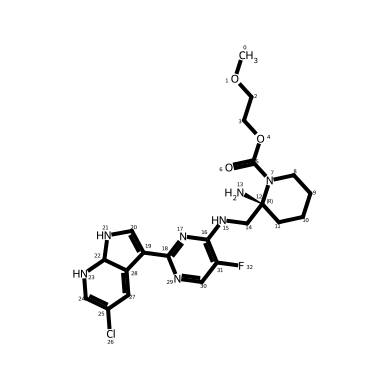 COCCOC(=O)N1CCCC[C@]1(N)CNc1nc(C2=CNC3NC=C(Cl)C=C23)ncc1F